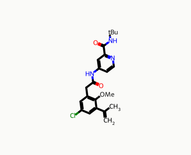 C=C(C)c1cc(Cl)cc(CC(=O)Nc2ccnc(C(=O)NC(C)(C)C)c2)c1OC